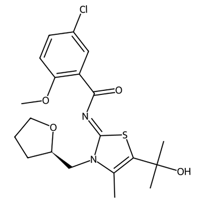 COc1ccc(Cl)cc1C(=O)N=c1sc(C(C)(C)O)c(C)n1C[C@H]1CCCO1